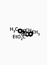 CCOC(=O)C1Cc2ccc(C)cc2C(C)N1S(=O)(=O)c1ccc(C)cc1